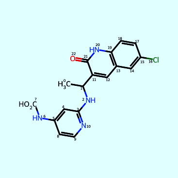 CC(Nc1cc(NC(=O)O)ccn1)c1cc2cc(Cl)ccc2[nH]c1=O